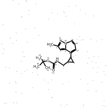 Cc1cc2c(C3CC3CNC(=O)OC(C)(C)C)cccn2n1